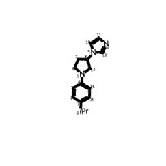 CC(C)c1ccc(N2CCC(n3ccnc3)C2)cc1